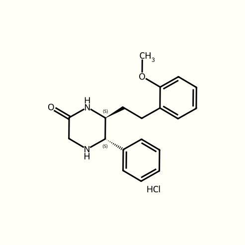 COc1ccccc1CC[C@@H]1NC(=O)CN[C@H]1c1ccccc1.Cl